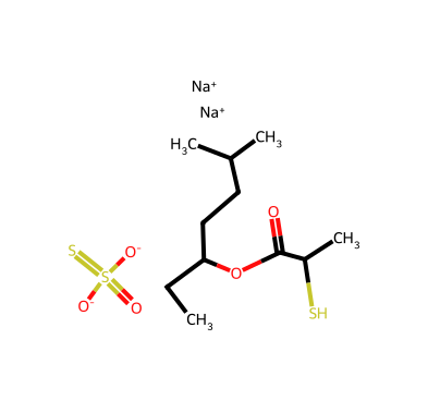 CCC(CCC(C)C)OC(=O)C(C)S.O=S([O-])([O-])=S.[Na+].[Na+]